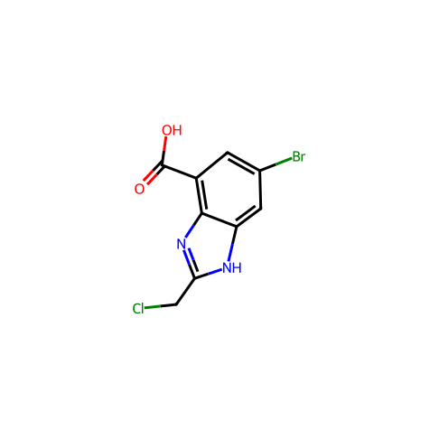 O=C(O)c1cc(Br)cc2[nH]c(CCl)nc12